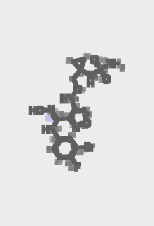 NS(=O)(=O)NC1(CONc2nonc2/C(=N/O)Nc2ccc(F)c(Br)c2)CC1